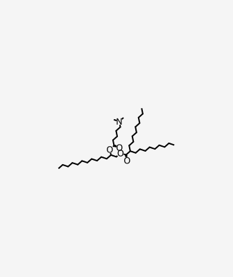 CCCCCCCCCCCC(COC(=O)C(CCCCCCCCC)CCCCCCCCC)OC(=O)CCCCN(C)C